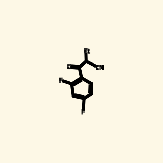 CCC(C#N)C(=O)c1ccc(F)cc1F